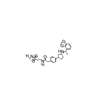 C[C@@H](N[C@H]1CC[C@@H](c2ccc(CC(=O)NCCS(N)(=O)=O)cc2)C1)c1cccc2c1OCO2